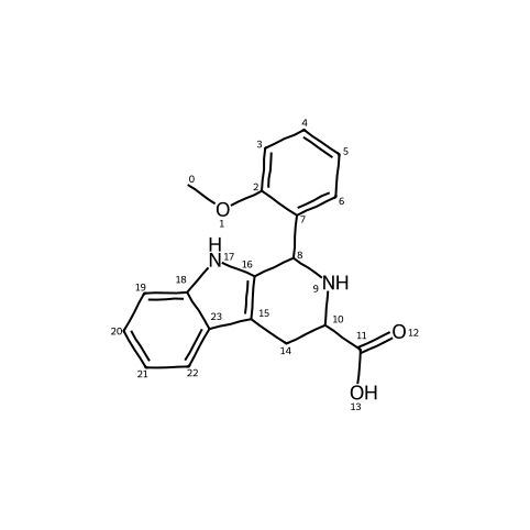 COc1ccccc1C1NC(C(=O)O)Cc2c1[nH]c1ccccc21